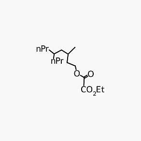 CCCC(CCC)CC(C)CCOC(=O)C(=O)OCC